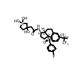 O=C(CC1(O)CCS(O)(O)C1)N[C@@H]1CC[C@@]2(S(=O)(=O)c3ccc(F)cc3)c3ccc(C(F)(C(F)(F)F)C(F)(F)F)cc3CC[C@@H]12